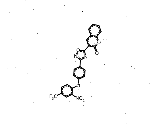 O=c1oc2ccccc2cc1-c1nc(-c2ccc(Oc3ccc(C(F)(F)F)cc3[N+](=O)[O-])cc2)no1